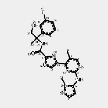 Cc1cnc(Nc2ccnn2C)nc1-c1coc(C(=O)NC(C)(CO)c2cccc(F)c2)n1